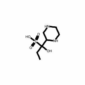 CCC(O)(C1CNCCN1)S(=O)(=O)O